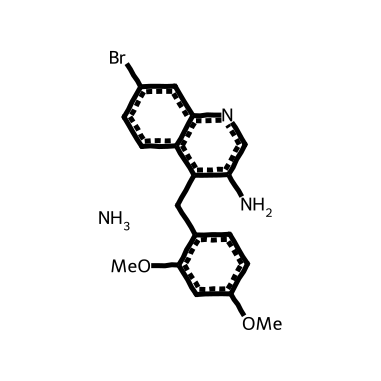 COc1ccc(Cc2c(N)cnc3cc(Br)ccc23)c(OC)c1.N